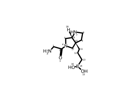 NCC(=O)N1C[C@@H]2NCC[C@]2(CCCB(O)O)C1